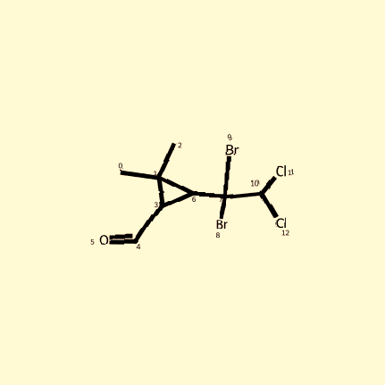 CC1(C)C(C=O)C1C(Br)(Br)C(Cl)Cl